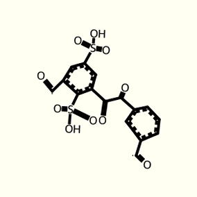 O=[C]c1cccc(C(=O)C(=O)c2cc(S(=O)(=O)O)cc([C]=O)c2S(=O)(=O)O)c1